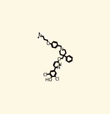 CN(C)CCCOc1ccc(CN2CCC(COc3ccc(-c4cc(Cl)c(O)c(Cl)c4)nn3)(c3ccccc3)CC2)cc1